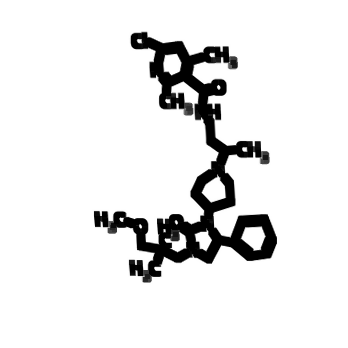 COCC(C)(C)CN1CC(c2ccccc2)N(C2CCN(C(C)CCNC(=O)c3c(C)cc(Cl)nc3C)CC2)C1=O